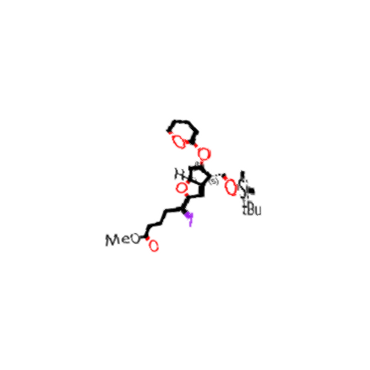 COC(=O)CCCC(I)C1C=C2[C@H](C[C@@H](OC3CCCCO3)[C@@H]2CO[Si](C)(C)C(C)(C)C)O1